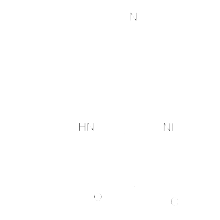 Cc1cnccc1-c1[nH]c2c(c1Nc1ccccc1)C(=O)COC2